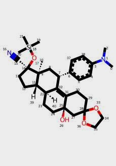 CN(C)c1ccc([C@H]2C[C@@]3(C)[C@@H](CC[C@@]3(C#N)O[Si](C)(C)C)[C@@H]3CC[C@@]4(O)CC5(CCC4=C32)OCCO5)cc1